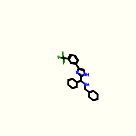 FC(F)(F)c1cccc(-c2c[nH]c(C(NCC3CCCCC3)C3CCCCC3)n2)c1